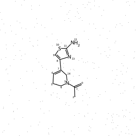 C=C(C)N1CCC=C(c2csc(N)n2)C1